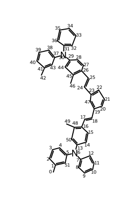 Cc1cccc(N(c2ccccc2)c2ccc(/C=C/c3cccc(/C=C/c4ccc(N(c5ccccc5)c5cccc(C)c5)cc4C)c3)c(C)c2)c1